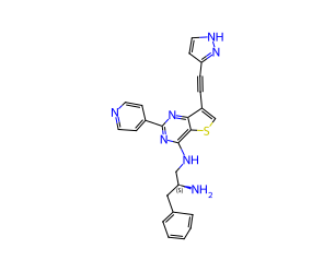 N[C@H](CNc1nc(-c2ccncc2)nc2c(C#Cc3cc[nH]n3)csc12)Cc1ccccc1